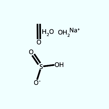 C=O.O.O.O=S([O-])O.[Na+]